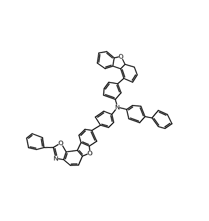 C1=CC(c2cccc(N(c3ccc(-c4ccccc4)cc3)c3ccc(-c4ccc5c(c4)oc4ccc6nc(-c7ccccc7)oc6c45)cc3)c2)=C2c3ccccc3OC2C1